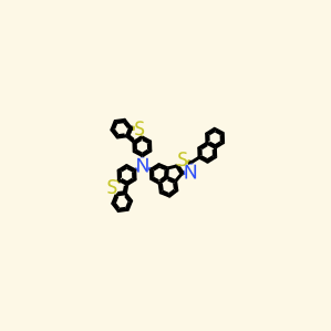 c1ccc2cc(-c3nc4c(s3)-c3cc(N(c5ccc6sc7ccccc7c6c5)c5ccc6sc7ccccc7c6c5)cc5cccc-4c35)ccc2c1